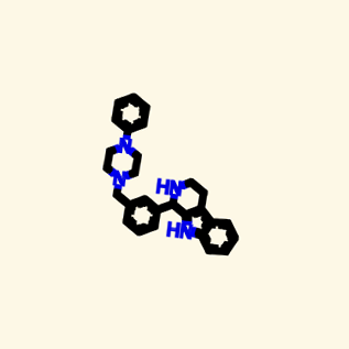 c1ccc(N2CCN(Cc3cccc(C4NCCc5c4[nH]c4ccccc54)c3)CC2)cc1